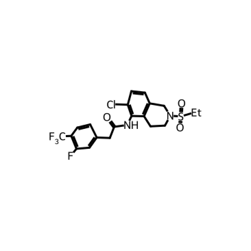 CCS(=O)(=O)N1CCc2c(ccc(Cl)c2NC(=O)Cc2ccc(C(F)(F)F)c(F)c2)C1